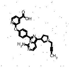 CC#CCN1CCC(c2nc(-c3ccc(Oc4cc(C(=O)O)ccn4)cc3)n3c(N)nccc23)C1